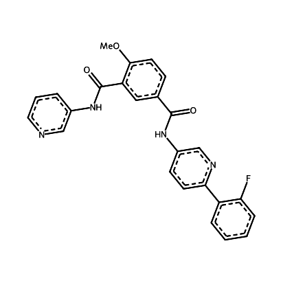 COc1ccc(C(=O)Nc2ccc(-c3ccccc3F)nc2)cc1C(=O)Nc1cccnc1